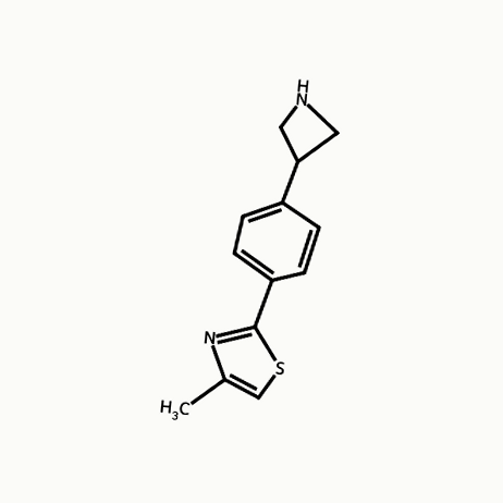 Cc1csc(-c2ccc(C3CNC3)cc2)n1